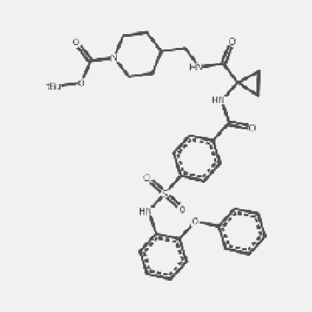 CC(C)(C)OC(=O)N1CCC(CNC(=O)C2(NC(=O)c3ccc(S(=O)(=O)Nc4ccccc4Oc4ccccc4)cc3)CC2)CC1